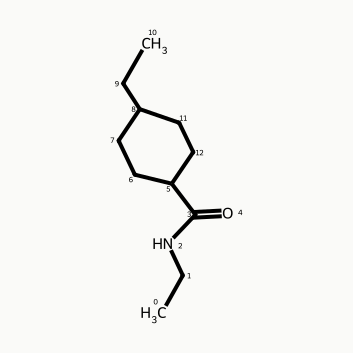 CCNC(=O)C1CCC(CC)CC1